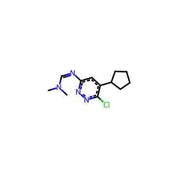 CN(C)/C=N\c1cc(C2CCCC2)c(Cl)nn1